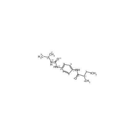 CCC(C)C(=O)Nc1ccc(NC(=O)NC(C)C)cc1